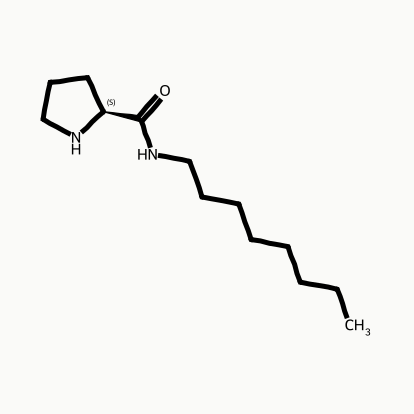 CCCCCCCCNC(=O)[C@@H]1CCCN1